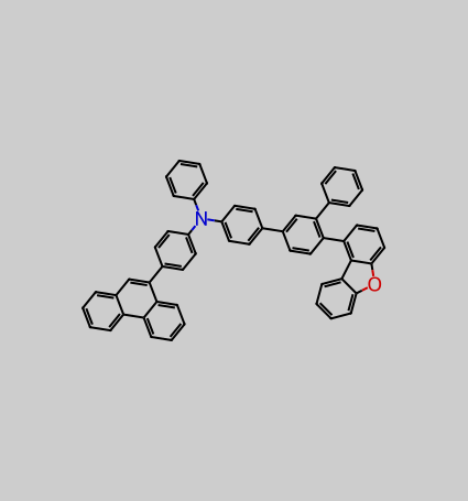 c1ccc(-c2cc(-c3ccc(N(c4ccccc4)c4ccc(-c5cc6ccccc6c6ccccc56)cc4)cc3)ccc2-c2cccc3oc4ccccc4c23)cc1